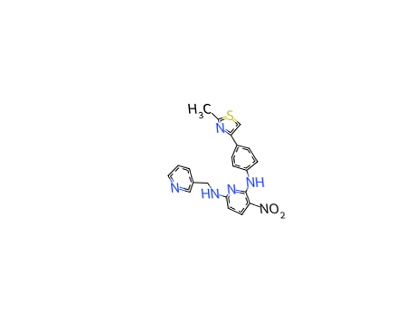 Cc1nc(-c2ccc(Nc3nc(NCc4cccnc4)ccc3[N+](=O)[O-])cc2)cs1